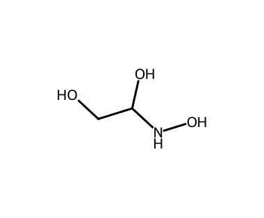 OCC(O)NO